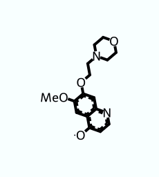 COc1cc2c([O])ccnc2cc1OCCN1CCOCC1